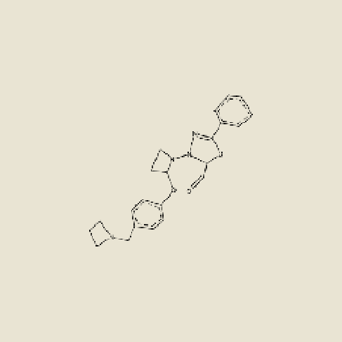 O=CC1OC(c2ccccc2)=NN1N1CCC1Oc1ccc(CN2CCC2)cc1